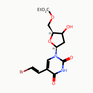 CCOC(=O)OC[C@@H]1O[C@H](n2cc(C=CBr)c(=O)[nH]c2=O)CC1O